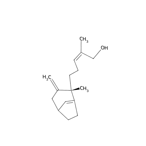 C=C1CC2C=C(CC2)[C@@]1(C)CC/C=C(/C)CO